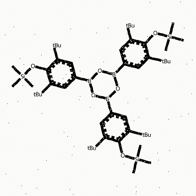 CC(C)(C)c1cc(B2OB(c3cc(C(C)(C)C)c(O[Si](C)(C)C)c(C(C)(C)C)c3)OB(c3cc(C(C)(C)C)c(O[Si](C)(C)C)c(C(C)(C)C)c3)O2)cc(C(C)(C)C)c1O[Si](C)(C)C